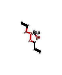 C=CCOOOC=C.O=S(=O)(O)O